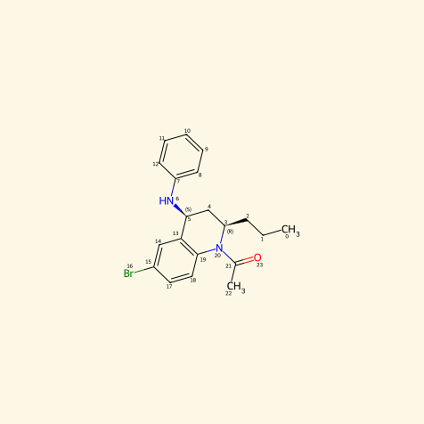 CCC[C@@H]1C[C@H](Nc2ccccc2)c2cc(Br)ccc2N1C(C)=O